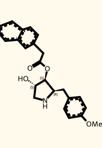 COc1ccc(C[C@H]2NC[C@H](O)[C@H]2OC(=O)Cc2ccc3ccccc3c2)cc1